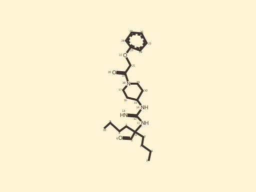 CCCCC(C=O)(CCCC)NC(=N)NC1CCN(C(=O)COc2ccccc2)CC1